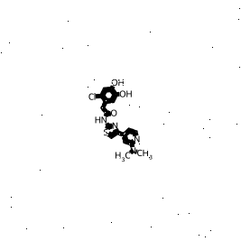 CN(C)c1cc(-c2csc(NC(=O)Cc3cc(O)c(O)cc3Cl)n2)ccn1